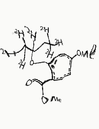 [2H]C([2H])([2H])C([2H])(Oc1cc(OC)ccc1C(=O)OC)C([2H])([2H])[2H]